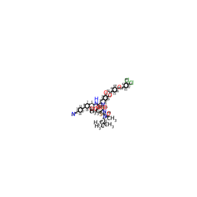 COC(=O)C(Cc1ccc(-c2ccc(C#N)cc2)cc1)NC(=O)C1Cc2cc3c(cc2CN1S(=O)(=O)c1nc(N(CCC(C)(C)C)C(C)=O)sc1C)OC(c1ccc(OCc2ccc(Cl)c(Cl)c2)cc1)CO3